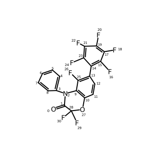 O=C1N(c2ccccc2)c2c(ccc(-c3c(F)c(F)c(F)c(F)c3F)c2F)OC1(F)F